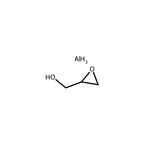 OCC1CO1.[AlH3]